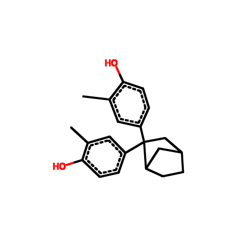 Cc1cc(C2(c3ccc(O)c(C)c3)CC3CCC2C3)ccc1O